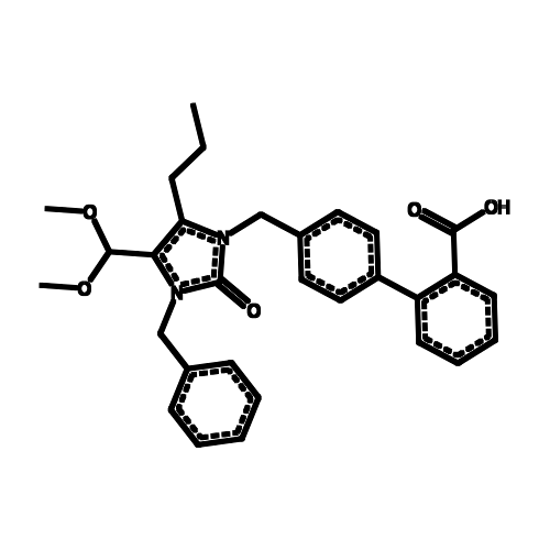 CCCc1c(C(OC)OC)n(Cc2ccccc2)c(=O)n1Cc1ccc(-c2ccccc2C(=O)O)cc1